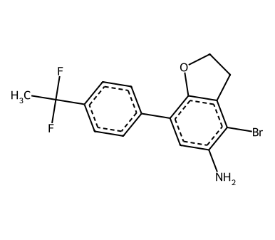 CC(F)(F)c1ccc(-c2cc(N)c(Br)c3c2OCC3)cc1